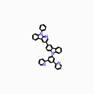 c1ccc(-n2c3ccccc3c3cc(-c4ccc5c(c4)c4ccccc4n5-c4cc(-c5ccccn5)cc(-c5ccccn5)c4)cnc32)cc1